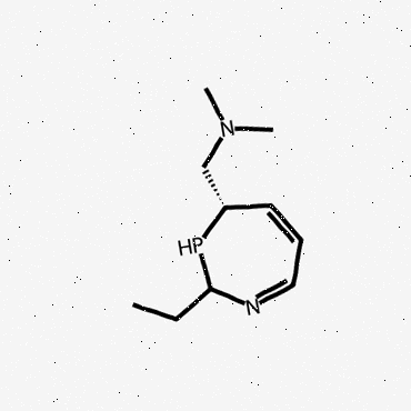 CCC1N=CC=C[C@@H](CN(C)C)P1